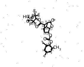 Cc1cc(I)cc(I)c1OC(=O)OC1C2CC3C1OC(=O)C3C2C(=O)OC(C(F)(F)F)C(F)(F)S(=O)(=O)O